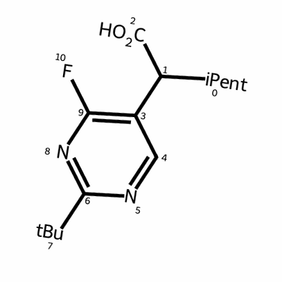 CCCC(C)C(C(=O)O)c1cnc(C(C)(C)C)nc1F